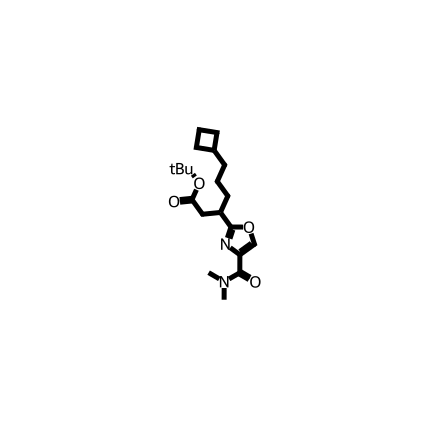 CN(C)C(=O)c1coc(C(CCCC2CCC2)CC(=O)OC(C)(C)C)n1